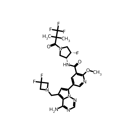 COc1ncc(-c2cc(CN3CC(F)(F)C3)c3c(N)ncnn23)cc1C(=O)N[C@@H]1CN(C(=O)C(C)(C)C(F)(F)F)C[C@@H]1F